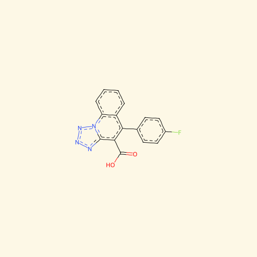 O=C(O)c1c(-c2ccc(F)cc2)c2ccccc2n2nnnc12